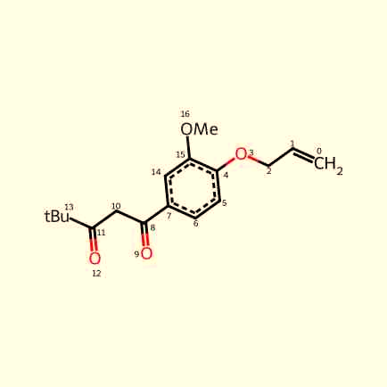 C=CCOc1ccc(C(=O)CC(=O)C(C)(C)C)cc1OC